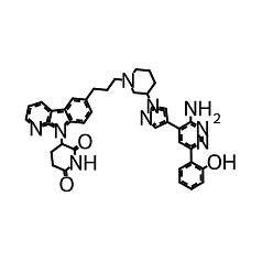 Nc1nnc(-c2ccccc2O)cc1-c1cnn(C2CCCN(CCCc3ccc4c(c3)c3cccnc3n4C3CCC(=O)NC3=O)C2)c1